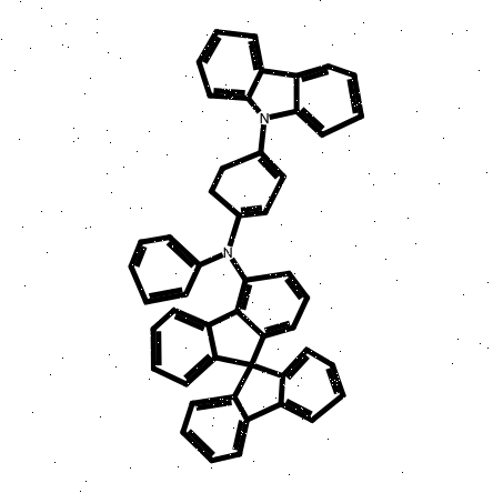 C1=C(N(c2ccccc2)c2cccc3c2-c2ccccc2C32c3ccccc3-c3ccccc32)CCC(n2c3ccccc3c3ccccc32)=C1